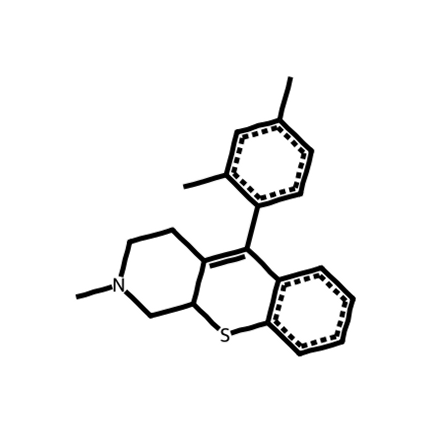 Cc1ccc(C2=C3CCN(C)CC3Sc3ccccc32)c(C)c1